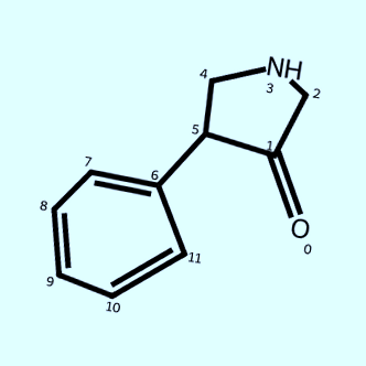 O=C1CNCC1c1ccccc1